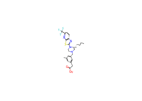 CCCC[C@@H]1CN(Cc2cc(C)cc(CC(=O)O)c2)CCN1c1nc2ccc(C(F)(F)F)nc2s1